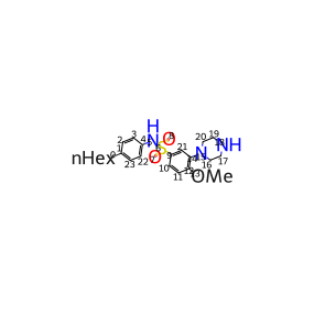 CCCCCCc1ccc(NS(=O)(=O)c2ccc(OC)c(N3CCNCC3)c2)cc1